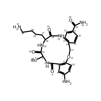 CCC(C)C1NC(=O)c2cc(N)ccc2OCc2ccc(C(N)=O)cc2NC(=O)C(CCCCN)NC1=O